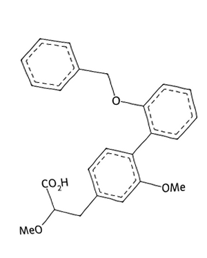 COc1cc(CC(OC)C(=O)O)ccc1-c1ccccc1OCc1ccccc1